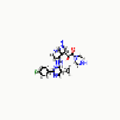 O=C(C(=O)N1CCNCC1)c1c[nH]c2nccc(Nc3nc(-c4ccc(F)cc4)ncc3C3CC3)c12